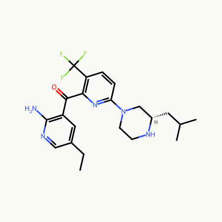 CCc1cnc(N)c(C(=O)c2nc(N3CCN[C@@H](CC(C)C)C3)ccc2C(F)(F)F)c1